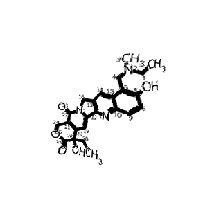 CCN(C)Cc1c(O)ccc2nc3c(cc12)Cn1c-3cc2c(c1=O)COC(=O)C2(O)CC